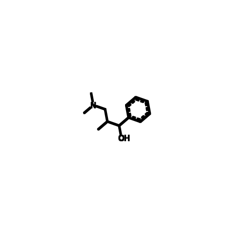 CC(CN(C)C)C(O)c1ccccc1